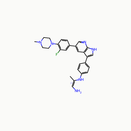 C/C(=C/N)Nc1ccc(-c2c[nH]c3ncc(-c4ccc(N5CCN(C)CC5)c(F)c4)cc23)cc1